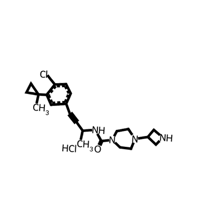 CC(C#Cc1ccc(Cl)c(C2(C)CC2)c1)NC(=O)N1CCN(C2CNC2)CC1.Cl